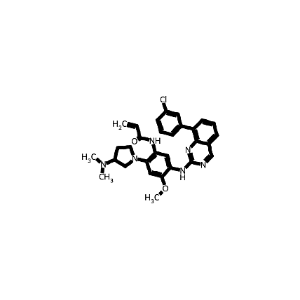 C=CC(=O)Nc1cc(Nc2ncc3cccc(-c4cccc(Cl)c4)c3n2)c(OC)cc1N1CCC(N(C)C)C1